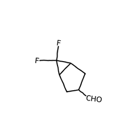 O=CC1CC2C(C1)C2(F)F